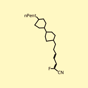 CCCCCC1CCC(C2CCC(CCC=CC=C(F)C#N)CC2)CC1